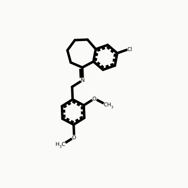 COc1ccc(CN=C2CCCCc3cc(Cl)ccc32)c(OC)c1